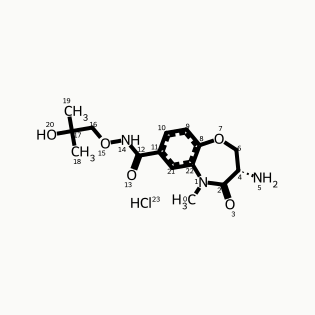 CN1C(=O)[C@@H](N)COc2ccc(C(=O)NOCC(C)(C)O)cc21.Cl